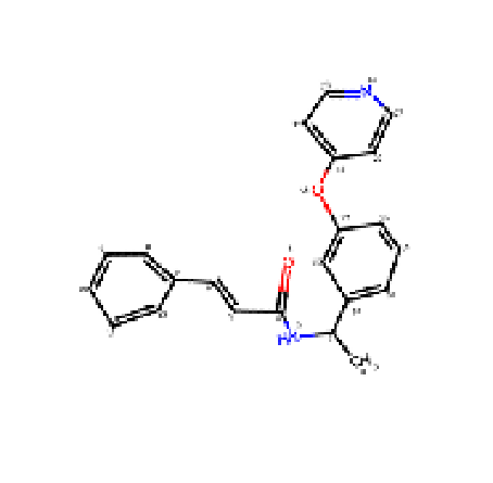 CC(NC(=O)C=Cc1ccccc1)c1cccc(Oc2ccncc2)c1